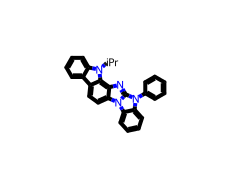 CC(C)n1c2ccccc2c2ccc3c(nc4n(-c5ccccc5)c5ccccc5n34)c21